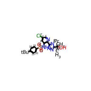 CC(C)n1c(-c2ncc(Cl)cc2NS(=O)(=O)c2ccc(C(C)(C)C)cc2)nnc1C(C)(C)O